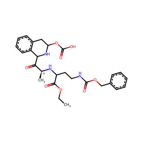 CCOC(=O)C(CCNC(=O)OCc1ccccc1)N[C@@H](C)C(=O)C1NC(OC(=O)O)Cc2ccccc21